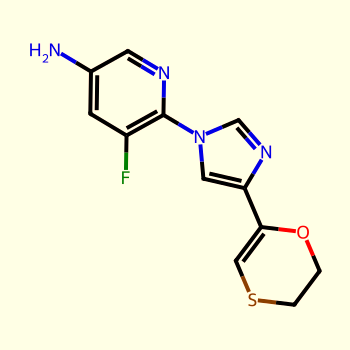 Nc1cnc(-n2cnc(C3=CSCCO3)c2)c(F)c1